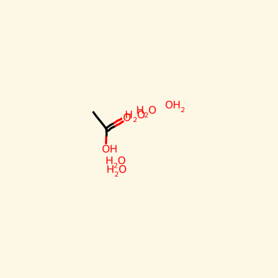 CC(=O)O.O.O.O.O.O